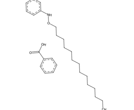 CCCCCCCCCCCCCCONc1ccccc1.O=C(O)c1ccccc1